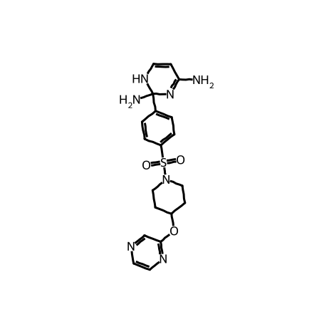 NC1=NC(N)(c2ccc(S(=O)(=O)N3CCC(Oc4cnccn4)CC3)cc2)NC=C1